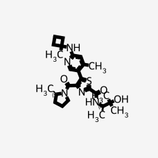 Cc1cc(NC2(C)CCC2)ncc1-c1sc(C(=O)N[C@H](C)C(C)(C)O)nc1C(=O)N1CCC[C@@H]1C